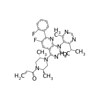 C=CC(=O)N1C[C@H](C)N(c2nc(=O)n(-c3c(C)ncnc3C(C)C)c3nc(-c4ccccc4F)c(F)cc23)C[C@H]1C